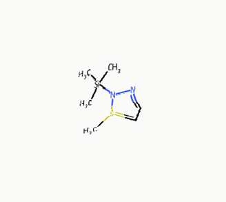 CS1=CC=NN1[Si](C)(C)C